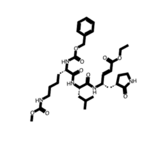 CCOC(=O)/C=C/[C@H](C[C@@H]1CCNC1=O)NC(=O)[C@H](CC(C)C)NC(=O)[C@H](CCCCNC(=O)OC)NC(=O)OCc1ccccc1